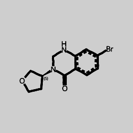 O=C1c2ccc(Br)cc2NCN1[C@H]1CCOC1